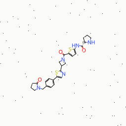 O=C(Nc1ccc(C(=O)N2CC(c3ncc(-c4ccc(CN5CCCC5=O)cc4)s3)C2)s1)[C@@H]1CCCN1